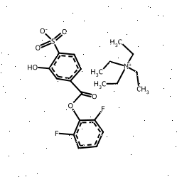 CC[N+](CC)(CC)CC.O=C(Oc1c(F)cccc1F)c1ccc(S(=O)(=O)[O-])c(O)c1